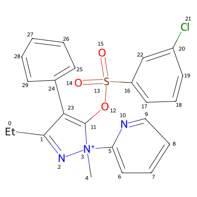 CCC1=N[N+](C)(c2ccccn2)C(OS(=O)(=O)c2cccc(Cl)c2)=C1c1ccccc1